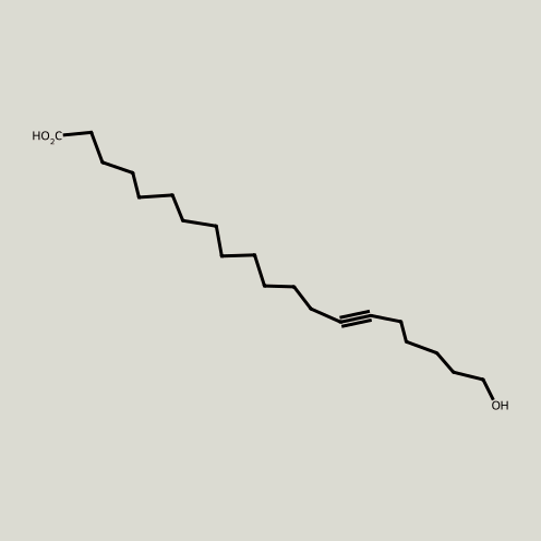 O=C(O)CCCCCCCCCCCCC#CCCCCCO